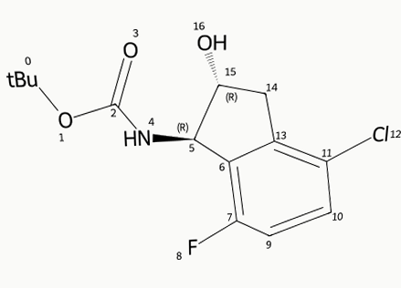 CC(C)(C)OC(=O)N[C@@H]1c2c(F)ccc(Cl)c2C[C@H]1O